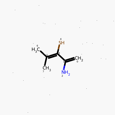 C=C(N)C(S)=C(C)C